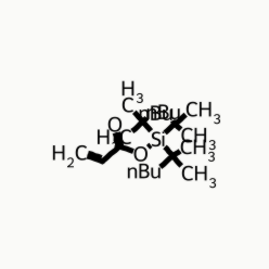 C=CC(=O)O[Si](C(C)(C)CCCC)(C(C)(C)CCCC)C(C)(C)CCCC